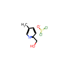 Cc1ccc(CO)nc1.[O-][S+](Cl)Cl